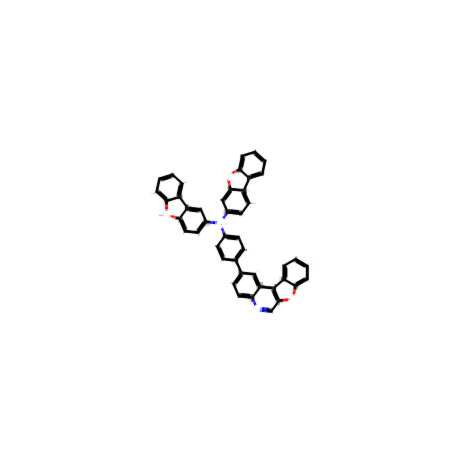 c1ccc2c(c1)oc1cc(N(c3ccc(-c4ccc5ncc6oc7ccccc7c6c5c4)cc3)c3ccc4oc5ccccc5c4c3)ccc12